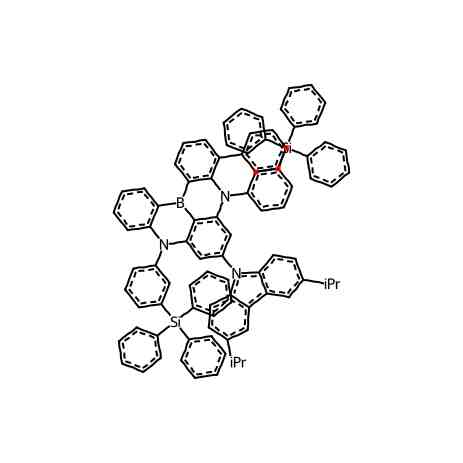 CC(C)c1ccc2c(c1)c1cc(C(C)C)ccc1n2-c1cc2c3c(c1)N(c1cccc([Si](c4ccccc4)(c4ccccc4)c4ccccc4)c1)c1c(cccc1-c1ccccc1)B3c1ccccc1N2c1cccc([Si](c2ccccc2)(c2ccccc2)c2ccccc2)c1